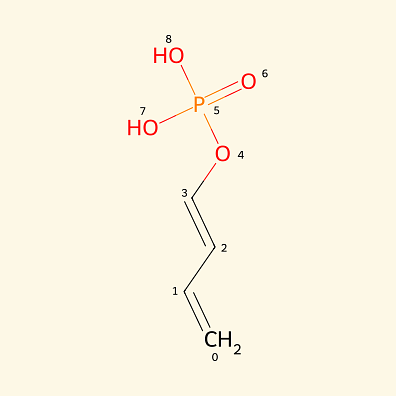 C=CC=COP(=O)(O)O